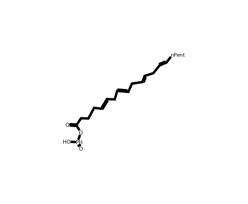 CCCCCC=CCC=CCC=CCC=CCCCC(=O)O[PH](=O)O